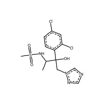 CC(NS(C)(=O)=O)C(O)(Cn1cncn1)c1ccc(Cl)cc1Cl